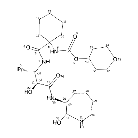 CC(C)[C@H](NC(=O)C1(NC(=O)OC2CCOCC2)CCCCC1)[C@H](O)C(=O)N[C@H]1CCCCNC1O